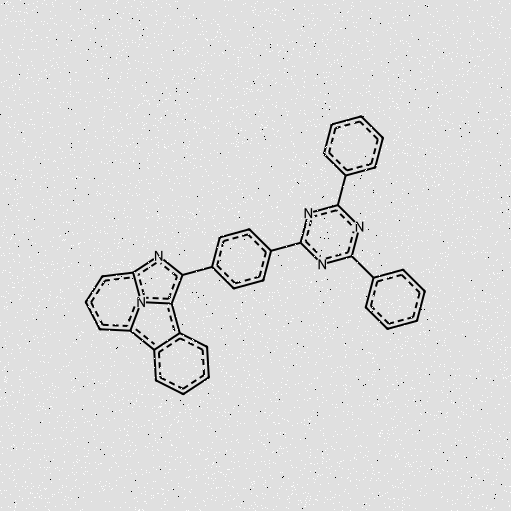 c1ccc(-c2nc(-c3ccccc3)nc(-c3ccc(-c4nc5cccc6c7ccccc7c4n56)cc3)n2)cc1